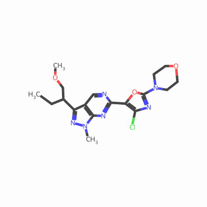 CCC(COC)c1nn(C)c2nc(-c3oc(N4CCOCC4)nc3Cl)ncc12